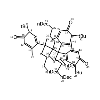 CCCCCCCCCCCCCC(C)(C1=CC(C(C)(C)C)C(=O)C=C1C)C(CCCCCCCCCCCCC)(CCCCCCCCCCCCC)C(CCCCCCCCCCCCC)(C1=CC(C(C)(C)C)C(=O)C=C1C)C1=CC(C(C)(C)C)C(=O)C=C1C